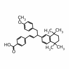 COc1ccc(CC(/C=C/c2ccc(C(=O)O)cc2)c2ccc3c(c2)C(C)(C)CCC3(C)C)cc1